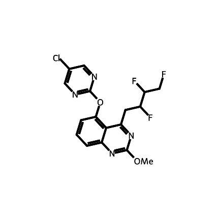 COc1nc(CC(F)C(F)CF)c2c(Oc3ncc(Cl)cn3)cccc2n1